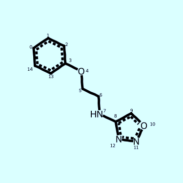 c1ccc(OCCNc2conn2)cc1